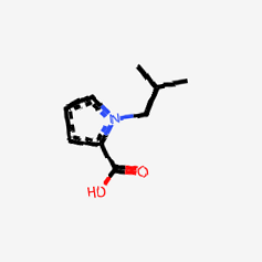 CC(C)Cn1cccc1C(=O)O